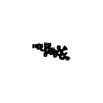 Cc1c(Br)ccc2c3oc(CNC(=O)[C@H](Cc4c[nH]cn4)NC(=O)O)nc3c(=O)n(C3CC3)c12